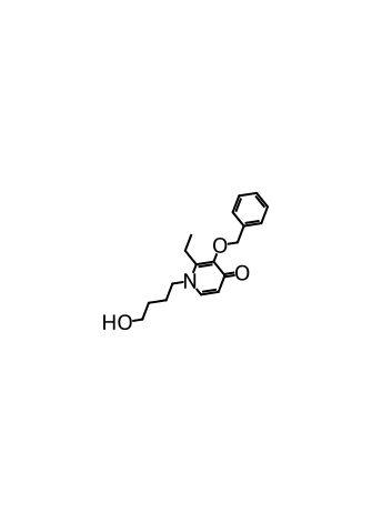 CCc1c(OCc2ccccc2)c(=O)ccn1CCCCO